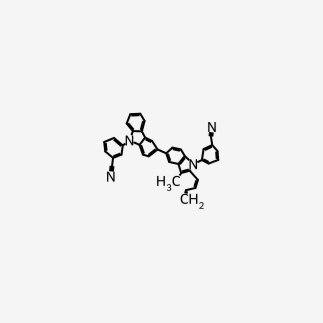 C=C/C=C\c1c(C)c2cc(-c3ccc4c(c3)c3ccccc3n4-c3cccc(C#N)c3)ccc2n1-c1cccc(C#N)c1